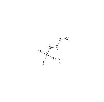 [Na+].[O-]OOOC(F)(F)I